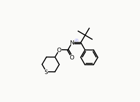 CC(C)(C)/C(=N/C(=O)OC1CCSCC1)c1ccccc1